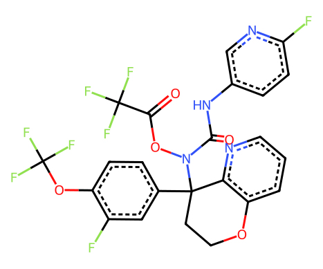 O=C(Nc1ccc(F)nc1)N(OC(=O)C(F)(F)F)C1(c2ccc(OC(F)(F)F)c(F)c2)CCOc2cccnc21